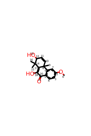 COc1ccc2c(c1)C1(C)C=CC(O)C(C)(C)C1=C(O)C2=O